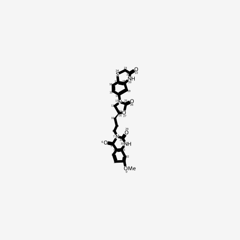 COc1ccc2c(=O)n(CCC[C@H]3CN(c4ccc5c(c4)NC(=O)CS5)C(=O)O3)c(=O)[nH]c2c1